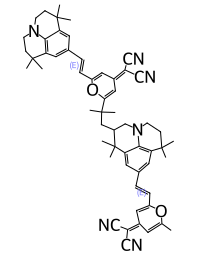 CC1=CC(=C(C#N)C#N)C=C(/C=C/c2cc3c4c(c2)C(C)(C)C(CC(C)(C)C2=CC(=C(C#N)C#N)C=C(/C=C/c5cc6c7c(c5)C(C)(C)CCN7CCC6(C)C)O2)CN4CCC3(C)C)O1